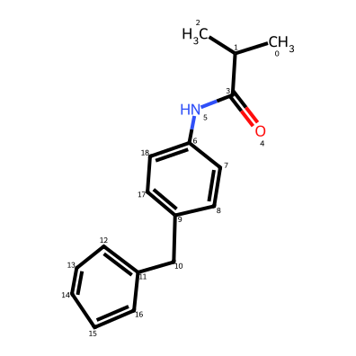 CC(C)C(=O)Nc1ccc(Cc2ccccc2)cc1